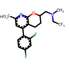 CN(CC1CCc2c(-c3ccc(F)cc3F)cc(C(=O)O)nc2O1)CC(F)(F)F